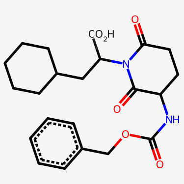 O=C(NC1CCC(=O)N(C(CC2CCCCC2)C(=O)O)C1=O)OCc1ccccc1